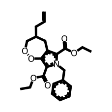 C=CCC1COOc2c(c(C(=O)OCC)n(Cc3ccccc3)c2C(=O)OCC)C1